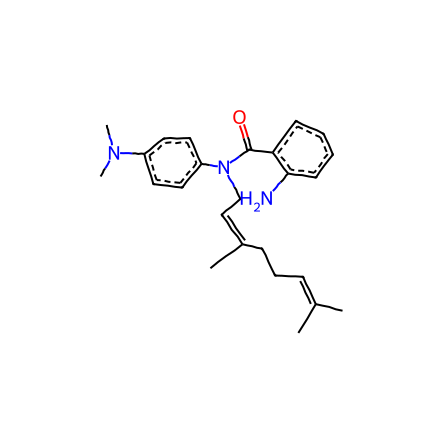 CC(C)=CCCC(C)=CCN(C(=O)c1ccccc1N)c1ccc(N(C)C)cc1